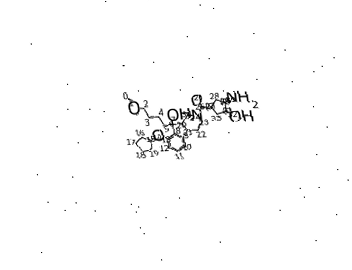 COCCCCC(O)(c1ccccc1OC1CCCC1)C1CCCN(C(=O)[C@H]2C[C@@H](N)[C@@H](O)C2)C1